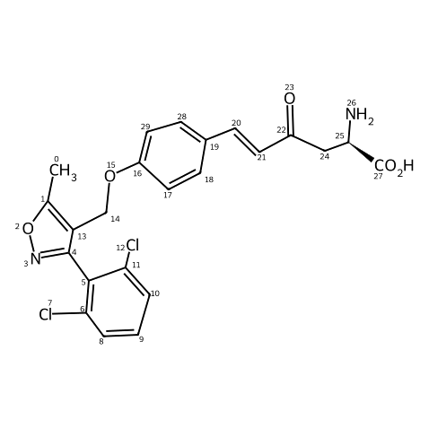 Cc1onc(-c2c(Cl)cccc2Cl)c1COc1ccc(C=CC(=O)C[C@@H](N)C(=O)O)cc1